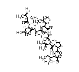 CC[C@H](C)[C@H](NC(=O)[C@@H]1CCCN1C(=O)[C@@H](NC(=O)CNC(=O)[C@H](CC(C)C)NC(=O)[C@H](C)NC(=O)[C@H](CC(=O)O)NC(=O)[C@@H](N)C(C)C)C(C)C)C(=O)O